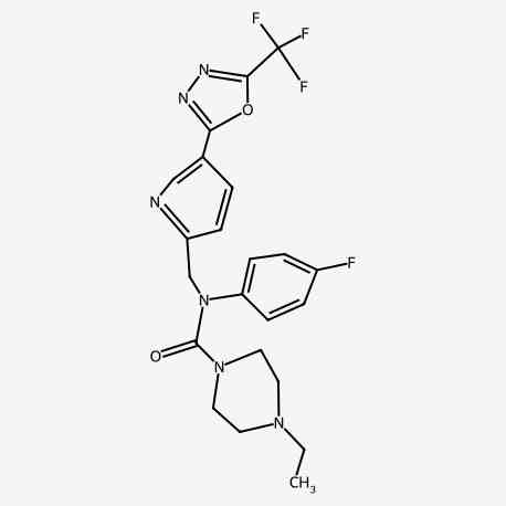 CCN1CCN(C(=O)N(Cc2ccc(-c3nnc(C(F)(F)F)o3)cn2)c2ccc(F)cc2)CC1